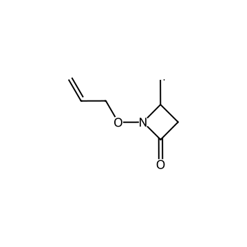 [CH2]C1CC(=O)N1OCC=C